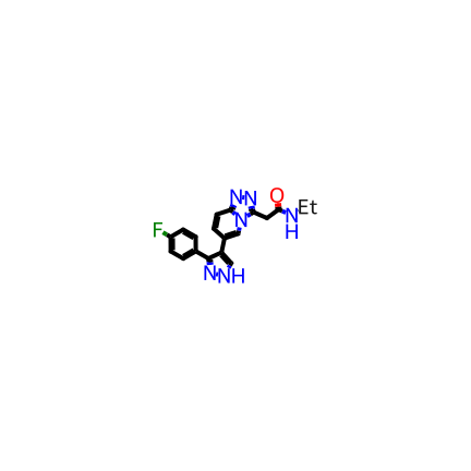 CCNC(=O)Cc1nnc2ccc(-c3c[nH]nc3-c3ccc(F)cc3)cn12